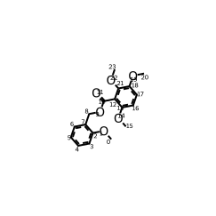 COc1ccccc1COC(=O)c1c(OC)ccc(OC)c1OC